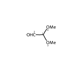 COC([C]=O)OC